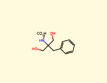 O=C(O)NC(CO)(CO)Cc1ccccc1